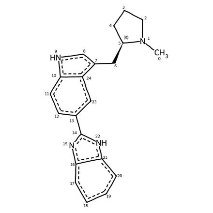 CN1CCC[C@@H]1Cc1c[nH]c2ccc(-c3nc4ccccc4[nH]3)cc12